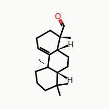 CC1(C)CCC[C@@]2(C)C3=CCC[C@](C)(C=O)[C@@H]3CC[C@H]12